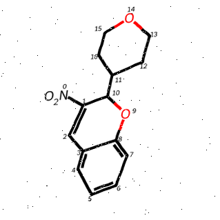 O=[N+]([O-])C1=Cc2ccccc2OC1C1CCOCC1